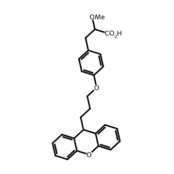 COC(Cc1ccc(OCCCC2c3ccccc3Oc3ccccc32)cc1)C(=O)O